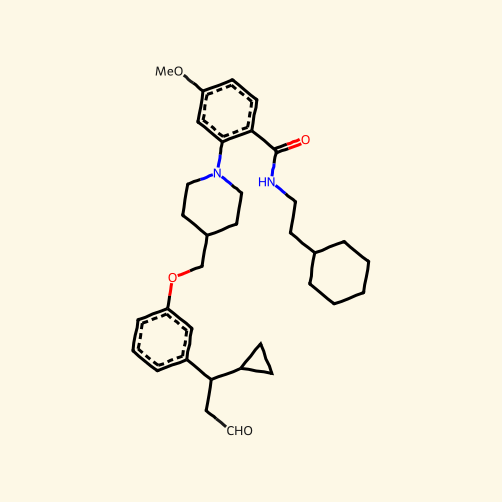 COc1ccc(C(=O)NCCC2CCCCC2)c(N2CCC(COc3cccc(C(CC=O)C4CC4)c3)CC2)c1